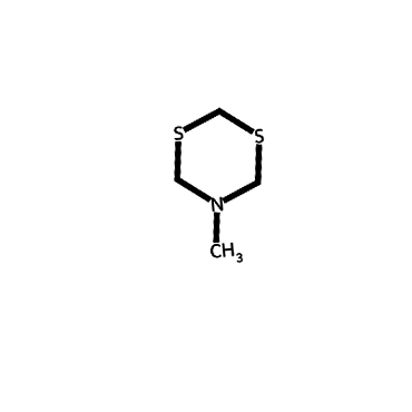 CN1CSCSC1